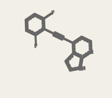 Fc1cccc(F)c1C#Cc1ccnc2[nH]ccc12